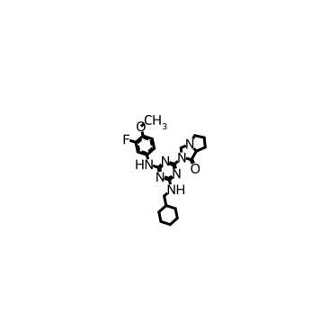 COc1ccc(Nc2nc(NCC3CCCCC3)nc(N3CN4CCCC4C3=O)n2)cc1F